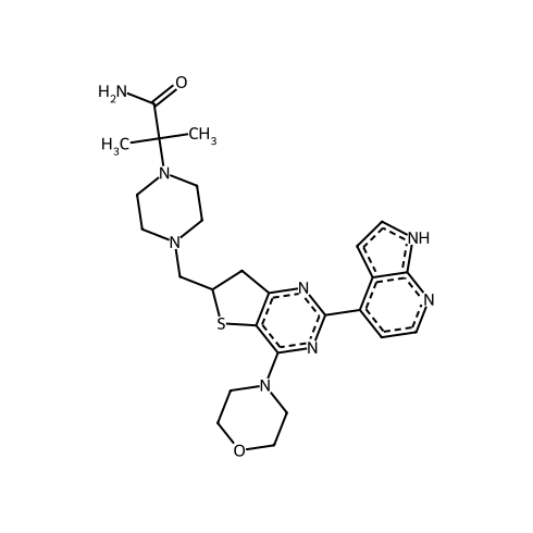 CC(C)(C(N)=O)N1CCN(CC2Cc3nc(-c4ccnc5[nH]ccc45)nc(N4CCOCC4)c3S2)CC1